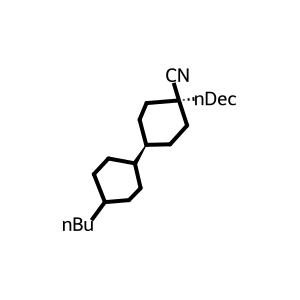 CCCCCCCCCC[C@]1(C#N)CC[C@@H](C2CCC(CCCC)CC2)CC1